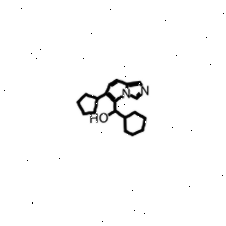 OC(c1c(C2CCCC2)ccc2cncn12)C1CCCCC1